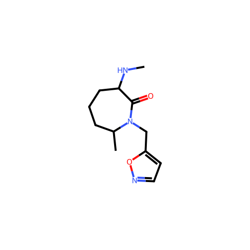 CNC1CCCC(C)N(Cc2ccno2)C1=O